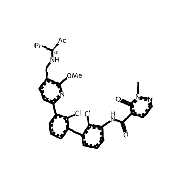 COc1nc(-c2cccc(-c3cccc(NC(=O)c4ccnn(C)c4=O)c3Cl)c2Cl)ccc1CN[C@H](C(C)=O)C(C)C